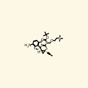 CC#C[C@]12C[C@H]1[C@@](CF)(c1cc(N)ccc1F)N=C(N(COCC[Si](C)(C)C)C(=O)OC(C)(C)C)S2